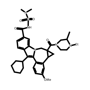 CCN1CCN(C(=O)C23CC2c2cc(OC)ccc2-c2c(C4CCCCC4)c4ccc(C(=O)NS(=O)(=O)N(C)C)cc4n2C3)CC1C